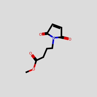 COC(=O)CCCN1C(=O)C=CC1=O